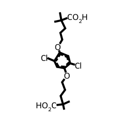 CC(C)(CCCOc1cc(Cl)c(OCCCC(C)(C)C(=O)O)cc1Cl)C(=O)O